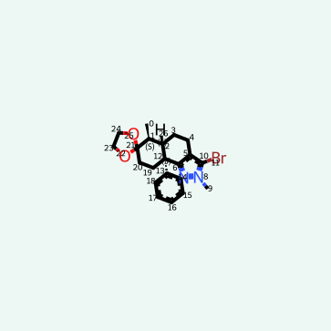 C[C@H]1[C@@H]2CCc3c(nn(C)c3Br)[C@@]2(c2ccccc2)CCC12OCCO2